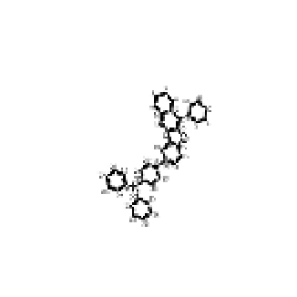 c1ccc(-c2c3ccccc3cc3c2oc2ccc(-c4ccc(N(c5ccccc5)c5ccccc5)cc4)cc23)cc1